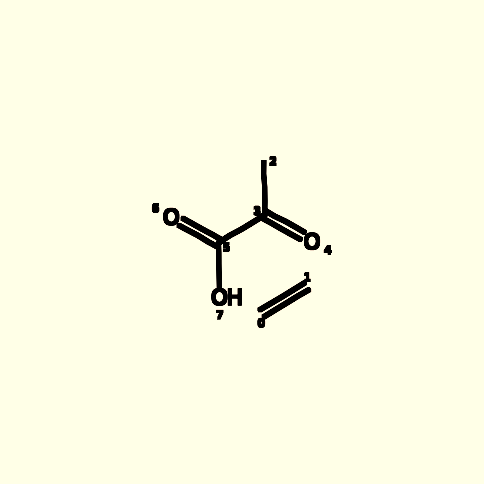 C=C.CC(=O)C(=O)O